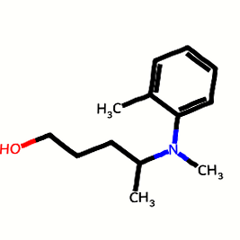 Cc1ccccc1N(C)C(C)CCCO